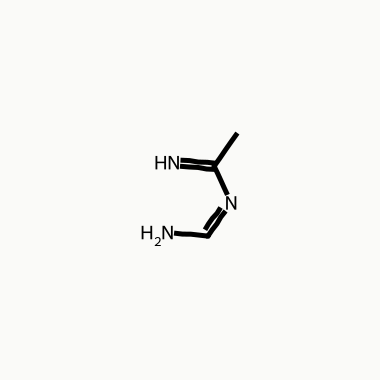 CC(=N)/N=C\N